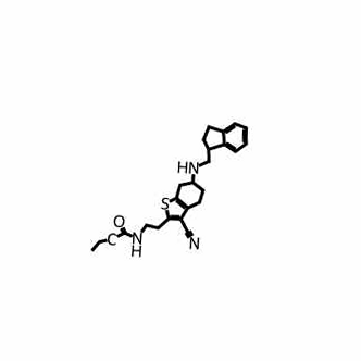 CCCC(=O)NCCc1sc2c(c1C#N)CCC(NCC1CCc3ccccc31)C2